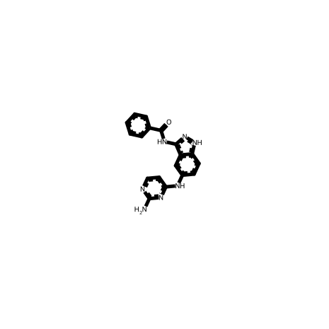 Nc1nccc(Nc2ccc3[nH]nc(NC(=O)c4ccccc4)c3c2)n1